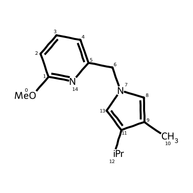 COc1cccc(Cn2cc(C)c(C(C)C)c2)n1